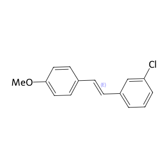 COc1ccc(/C=C/c2cccc(Cl)c2)cc1